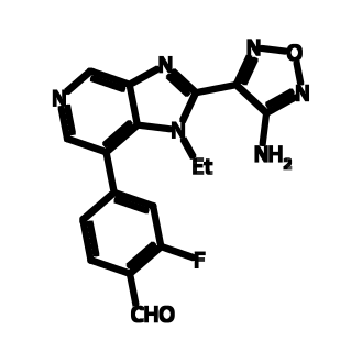 CCn1c(-c2nonc2N)nc2cncc(-c3ccc(C=O)c(F)c3)c21